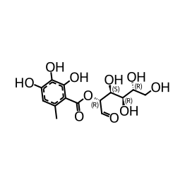 Cc1cc(O)c(O)c(O)c1C(=O)O[C@@H](C=O)[C@@H](O)[C@H](O)[C@H](O)CO